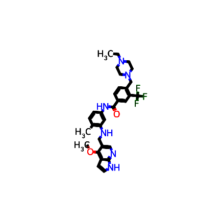 CCN1CCN(Cc2ccc(C(=O)Nc3ccc(C)c(NCc4cnc5[nH]ccc5c4OC)c3)cc2C(F)(F)F)CC1